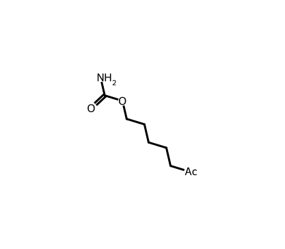 CC(=O)CCCCCOC(N)=O